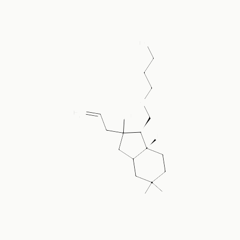 C=CCC1(O)C[C@@H]2CC(F)(F)CC[C@H]2[C@@H]1COCCCC